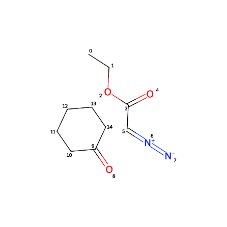 CCOC(=O)C=[N+]=[N-].O=C1CCCCC1